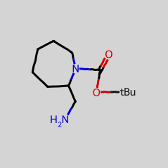 CC(C)(C)OC(=O)N1CCCCCC1CN